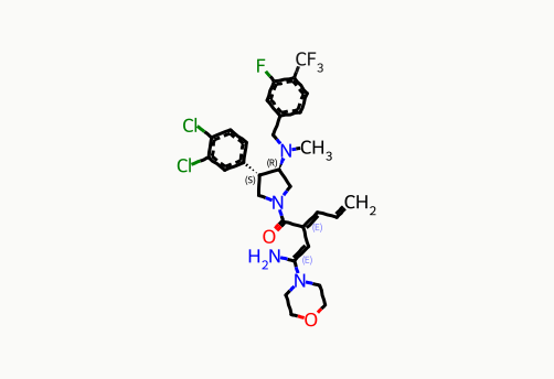 C=C/C=C(\C=C(/N)N1CCOCC1)C(=O)N1C[C@H](c2ccc(Cl)c(Cl)c2)[C@@H](N(C)Cc2ccc(C(F)(F)F)c(F)c2)C1